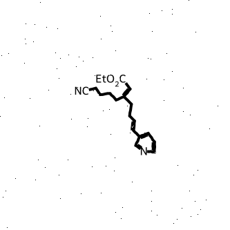 CCOC(=O)C=C(CCC=Cc1cccnc1)CCCCC#N